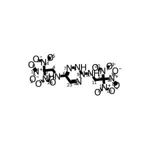 O=[N+]([O-])C(CNC1=NNN(NCC([N+](=O)[O-])([N+](=O)[O-])[N+](=O)[O-])N=C1)([N+](=O)[O-])[N+](=O)[O-]